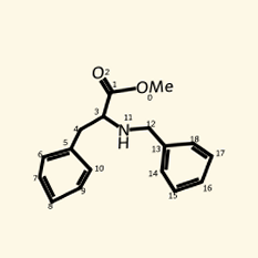 COC(=O)C(Cc1ccccc1)NCc1ccccc1